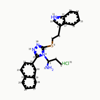 CCC(N)n1c(SCCc2c[nH]c3ccccc23)nnc1-c1ccc2ccccc2c1.Cl